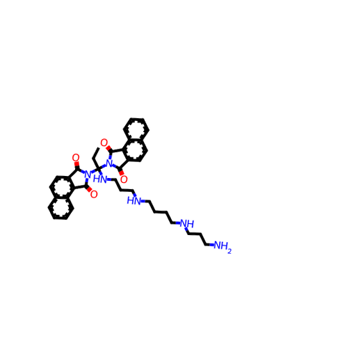 CCC(NCCCNCCCCNCCCN)(N1C(=O)c2ccc3ccccc3c2C1=O)N1C(=O)c2ccc3ccccc3c2C1=O